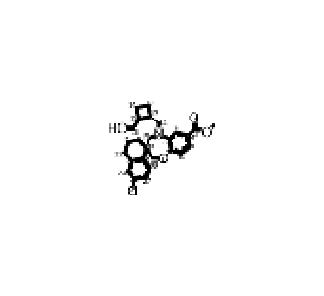 COC(=O)c1ccc2c(c1)N(C[C@@H]1CCC1CO)C[C@@]1(CCCc3cc(Cl)ccc31)CO2